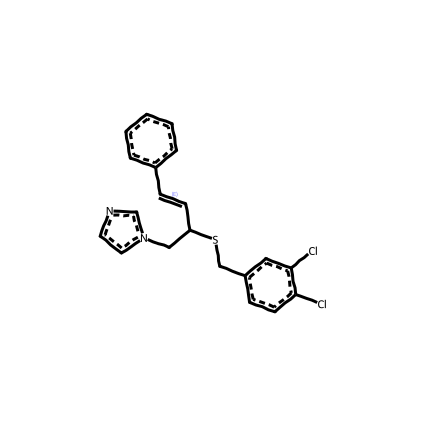 Clc1ccc(CSC(/C=C/c2ccccc2)Cn2ccnc2)cc1Cl